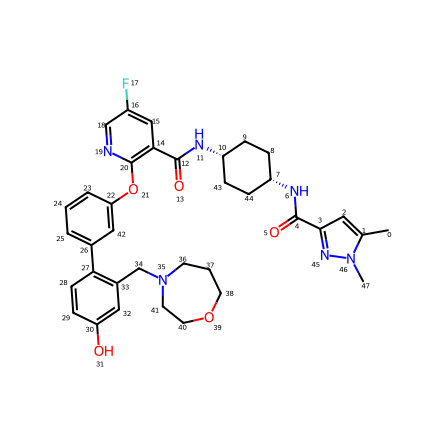 Cc1cc(C(=O)N[C@H]2CC[C@@H](NC(=O)c3cc(F)cnc3Oc3cccc(-c4ccc(O)cc4CN4CCCOCC4)c3)CC2)nn1C